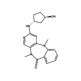 CN1C(=O)c2ccccc2N(C)c2cc(N[C@@H]3CC[C@@H](O)C3)ncc21